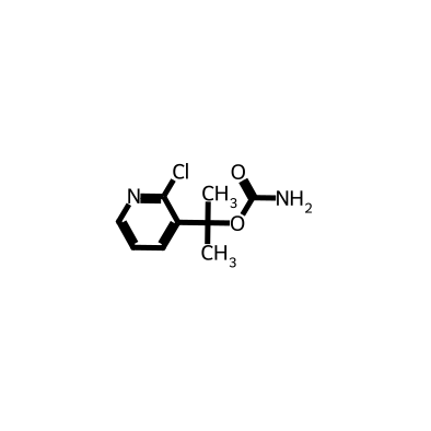 CC(C)(OC(N)=O)c1cccnc1Cl